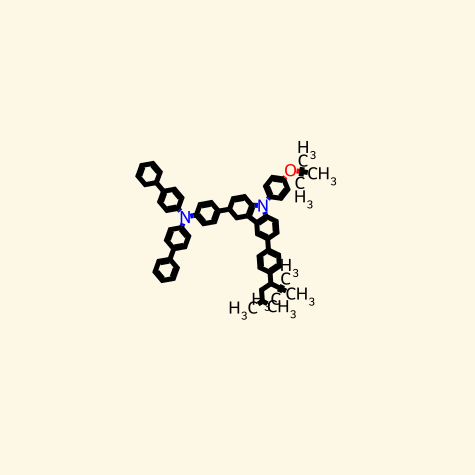 CC(C)CC(c1ccc(-c2ccc3c(c2)c2c(n3-c3ccc(OC(C)(C)C)cc3)C=CC(c3ccc(N(c4ccc(-c5ccccc5)cc4)c4ccc(C5C=CC=CC5)cc4)cc3)C2)cc1)C(C)(C)C